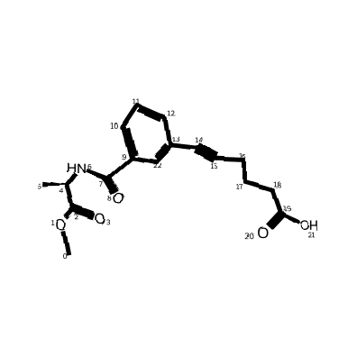 COC(=O)[C@@H](C)NC(=O)c1cccc(C#CCCCC(=O)O)c1